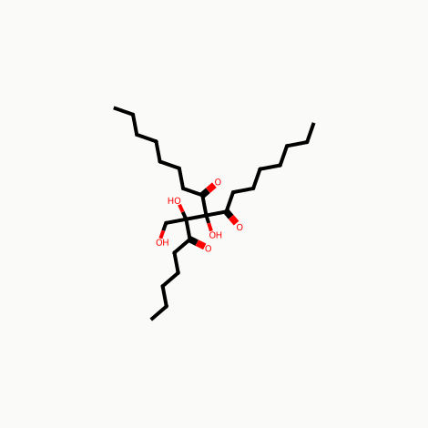 CCCCCCCC(=O)C(O)(C(=O)CCCCCCC)C(O)(CO)C(=O)CCCCC